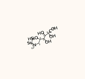 CN(CC(O)C(O)C(O)C(O)CO)C(=S)S